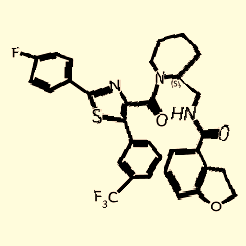 O=C(NC[C@@H]1CCCCN1C(=O)c1nc(-c2ccc(F)cc2)sc1-c1cccc(C(F)(F)F)c1)c1cccc2c1CCO2